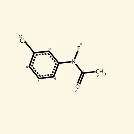 CC(=O)N(F)c1cccc(Cl)c1